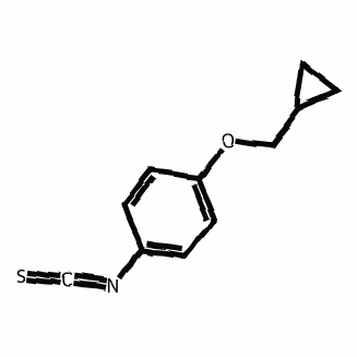 S=C=Nc1ccc(OCC2CC2)cc1